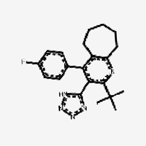 CC(C)(C)c1nc2c(c(-c3ccc(F)cc3)c1-c1nnn[nH]1)CCCCC2